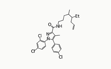 C=CCC(CC)C(C)CCCNC(=O)c1nn(-c2ccc(Cl)cc2Cl)c(-c2ccc(Cl)cc2)c1C